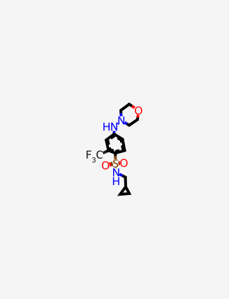 O=S(=O)(NCC1CC1)c1ccc(NN2CCOCC2)cc1C(F)(F)F